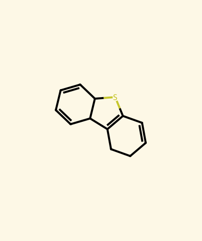 C1=CC2SC3=C(CCC=C3)C2C=C1